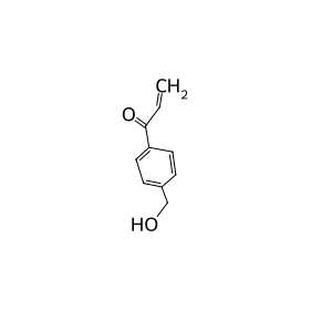 C=CC(=O)c1ccc(CO)cc1